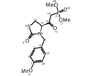 COc1ccc(CN2C(=O)SC[C@H]2C(=O)CP(=O)(OC)OC)cc1